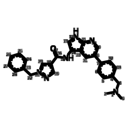 CN(C)Cc1ccc(-c2cnc3[nH]cc(NC(=O)c4cnn(Cc5ccccc5)c4)c3c2)cc1